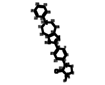 CN1CCN(c2ccc(-c3nc4c(s3)CCN(c3ccccc3)CC4)cc2)C1=O